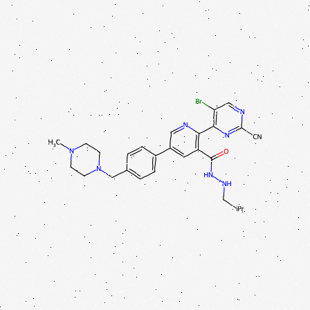 CC(C)CNNC(=O)c1cc(-c2ccc(CN3CCN(C)CC3)cc2)cnc1-c1nc(C#N)ncc1Br